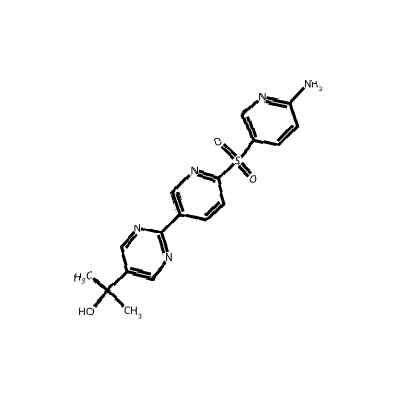 CC(C)(O)c1cnc(-c2ccc(S(=O)(=O)c3ccc(N)nc3)nc2)nc1